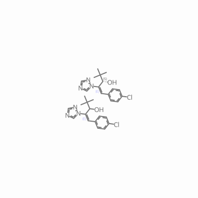 CC(C)(C)C(O)/C(=C\c1ccc(Cl)cc1)n1cncn1.CC(C)(C)[C@H](O)/C(=C\c1ccc(Cl)cc1)n1cncn1